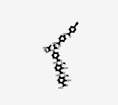 C#Cc1ccc(C(=O)Nc2ccc(C(=O)N[C@@H](Cc3cnn[nH]3)C(=O)Nc3ccc(C(=O)Nc4ccc(C(=O)Nc5ccc(C(=O)O)c(O)c5OC)c(O)c4OC)cc3)cc2)cc1